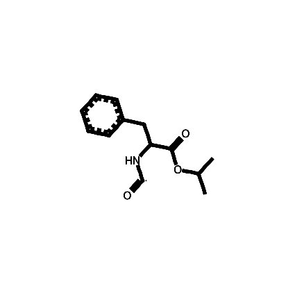 CC(C)OC(=O)C(Cc1ccccc1)N[C]=O